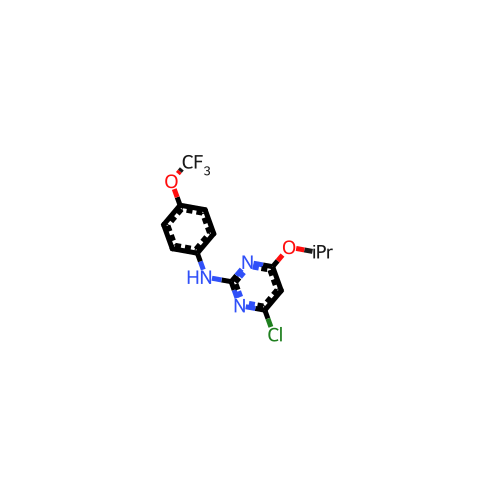 CC(C)Oc1cc(Cl)nc(Nc2ccc(OC(F)(F)F)cc2)n1